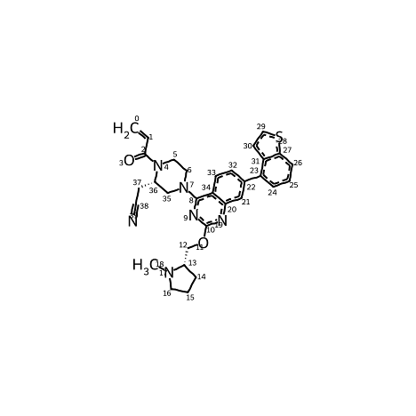 C=CC(=O)N1CCN(c2nc(OC[C@@H]3CCCN3C)nc3cc(-c4cccc5sccc45)ccc23)C[C@@H]1CC#N